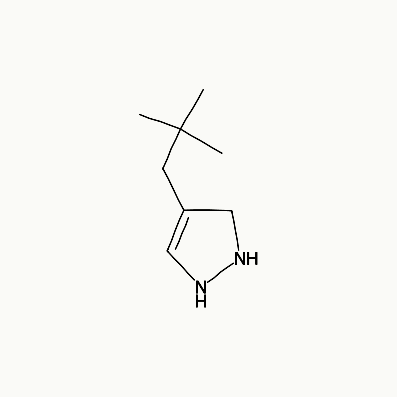 CC(C)(C)CC1=CNNC1